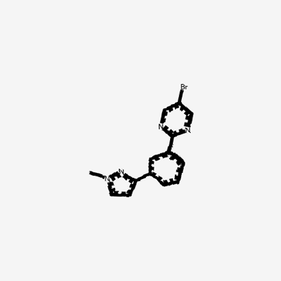 Cn1ccc(-c2cccc(-c3ncc(Br)cn3)c2)n1